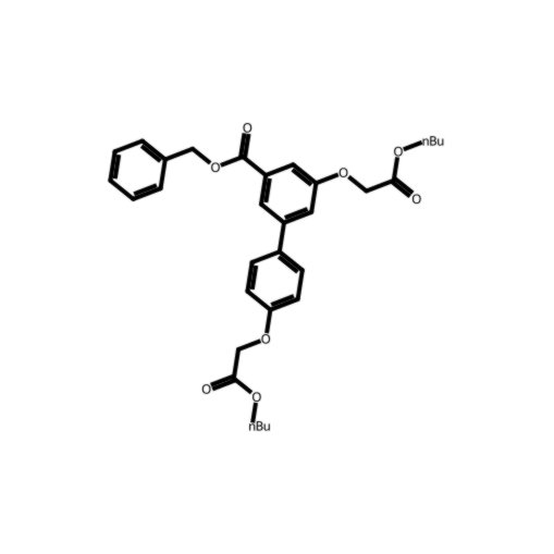 CCCCOC(=O)COc1ccc(-c2cc(OCC(=O)OCCCC)cc(C(=O)OCc3ccccc3)c2)cc1